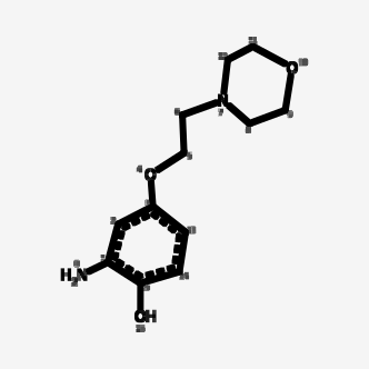 Nc1cc(OCCN2CCOCC2)ccc1O